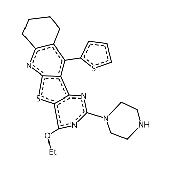 CCOc1nc(N2CCNCC2)nc2c1sc1nc3c(c(-c4cccs4)c12)CCCC3